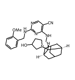 COc1ccccc1CNc1ncc(C#N)c(NC[C@@]23CC4C[C@H](C2)[C@@H](N2CCC(O)C2)[C@@H](C4)C3)n1